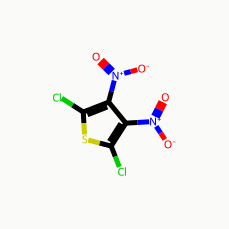 O=[N+]([O-])c1c(Cl)sc(Cl)c1[N+](=O)[O-]